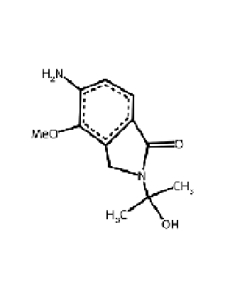 COc1c(N)ccc2c1CN(C(C)(C)O)C2=O